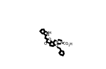 O=C1/C(=C/c2n[nH]c3ccccc23)Oc2c1ccc(OCCc1ccccc1)c2CN1CCN(C(=O)O)CC1